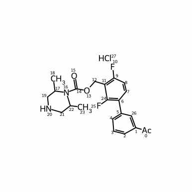 CC(=O)c1cccc(-c2ccc(F)c(COC(=O)N3C(C)CNCC3C)c2F)c1.Cl